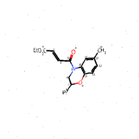 CCOC(=O)C=CC(=O)N1CC(C(C)C)Oc2ccc(C)cc21